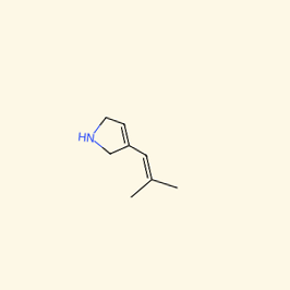 CC(C)=CC1=CCNC1